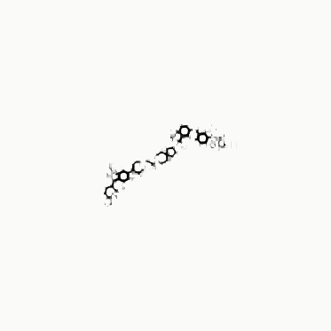 CCN(C)S(=O)(=O)Nc1ccc(F)c(Oc2ccc3ncn([C@H]4CCC5(CCN(C(=O)CN6CCC(c7ccc8c(C9CCC(O)NC9=O)nn(C)c8c7)C(F)(F)C6)CC5)C4)c(=O)c3c2)c1C#N